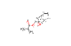 C=C(C)C(=O)OCC1(O)CC2CCCC(C2)C1